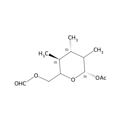 CC(=O)O[C@@H]1OC(COC=O)[C@@H](C)[C@H](C)C1C